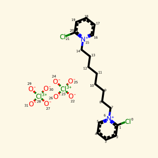 Clc1cccc[n+]1CCCCCCCC[n+]1ccccc1Cl.[O-][Cl+3]([O-])([O-])[O-].[O-][Cl+3]([O-])([O-])[O-]